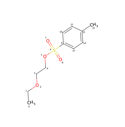 CCOCCOS(=O)(=O)c1ccc(C)cc1